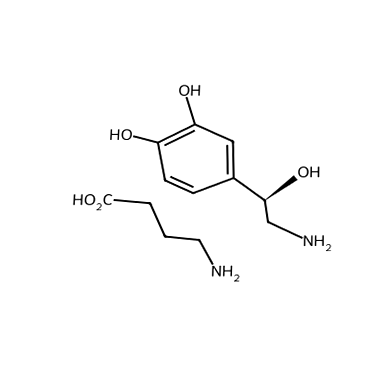 NCCCC(=O)O.NC[C@H](O)c1ccc(O)c(O)c1